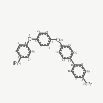 CC(C)c1ccc(Oc2ccc(Oc3ccc(-c4ccc(C(C)C)cc4)cc3)cc2)cc1